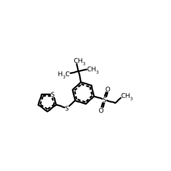 CCS(=O)(=O)c1cc(Sc2cccs2)cc(C(C)(C)C)c1